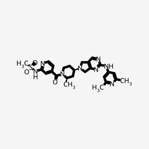 Cc1cc(Nc2ncc3c(n2)CN([C@@H]2CCN(C(=O)c4ccnc(NS(C)(=O)=O)c4)[C@H](C)C2)C3)cc(C)n1